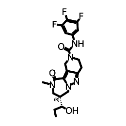 CCC(O)[C@@H]1CN(C)C(=O)c2c3c(nn2C1)CCN(C(=O)Nc1cc(F)c(F)c(F)c1)C3